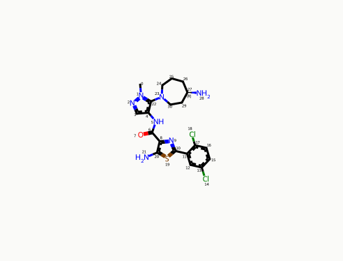 Cn1ncc(NC(=O)c2nc(-c3cc(Cl)ccc3Cl)sc2N)c1N1CCC[C@@H](N)CC1